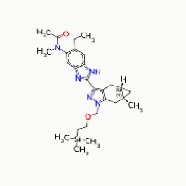 CCc1cc2[nH]c(-c3nn(COCC[Si](C)(C)C)c4c3C[C@@H]3C[C@]3(C)C4)nc2cc1N(C)C(C)=O